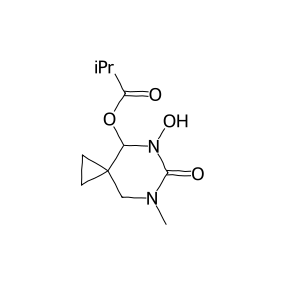 CC(C)C(=O)OC1N(O)C(=O)N(C)CC12CC2